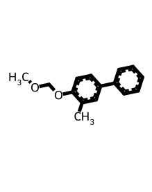 COCOc1ccc(-c2ccccc2)cc1C